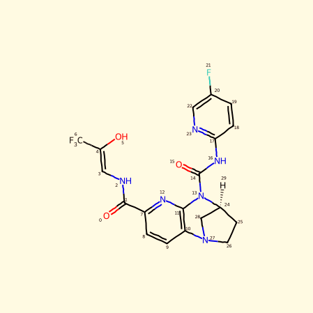 O=C(N/C=C(\O)C(F)(F)F)c1ccc2c(n1)N(C(=O)Nc1ccc(F)cn1)[C@H]1CCN2C1